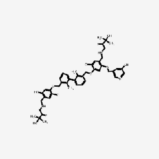 Cc1c(COc2cc(O)c(CNCC(F)C(C)(C)O)cc2Cl)cccc1-c1cccc(COc2cc(OCc3cncc(C#N)c3)c(CNCC(F)C(C)(C)O)cc2Cl)c1C